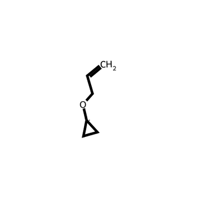 C=CCO[C]1CC1